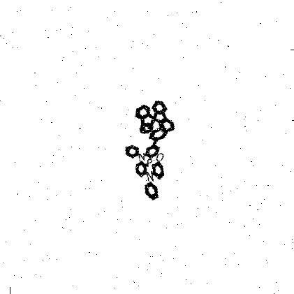 c1ccc(N2c3cccc4c3P3c5c(cc(-c6ccc7c8c(ccc7c6)-c6ccccc6C86c7ccccc7-c7ccccc76)cc5N(c5ccccc5)c5cccc2c53)O4)cc1